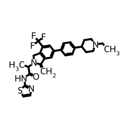 C=C1c2cc(-c3ccc(C4CCN(CC)CC4)cc3)cc(C(F)(F)F)c2CN1C(C)C(=O)Nc1nccs1